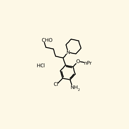 CCCOc1cc(N)c(Cl)cc1C(CCCC=O)N1CCCCC1.Cl